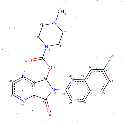 CN1CCN(C(=O)OC2c3nccnc3C(=O)N2c2ccc3ccc(Cl)cc3n2)CC1